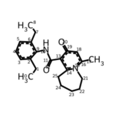 CCc1cccc(CC)c1NC(=O)c1c2n(c(C)cc1=O)CCCCC2